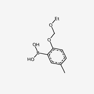 CCOCOc1ccc(C)cc1B(O)O